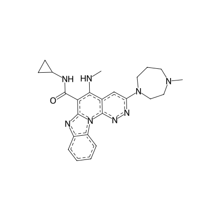 CNc1c(C(=O)NC2CC2)c2nc3ccccc3n2c2nnc(N3CCCN(C)CC3)cc12